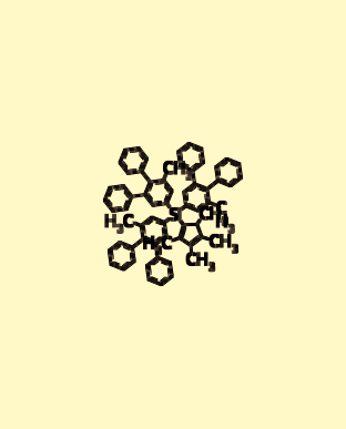 CC1=C(C)C(C)C([Si](c2cc(C)c(-c3ccccc3)c(-c3ccccc3)c2)(c2cc(C)c(-c3ccccc3)c(-c3ccccc3)c2)c2cc(C)c(-c3ccccc3)c(-c3ccccc3)c2)=C1C